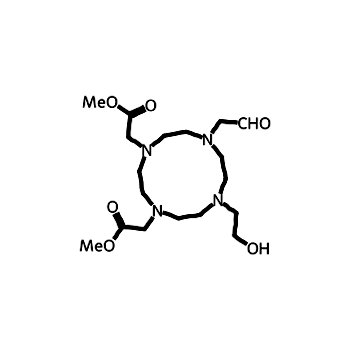 COC(=O)CN1CCN(CC=O)CCN(CCO)CCN(CC(=O)OC)CC1